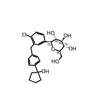 OC[C@H]1O[C@@H](c2ccc(Cl)c(Cc3ccc(C4(O)CCCC4)cc3)c2)[C@H](O)[C@@H](O)[C@@H]1O